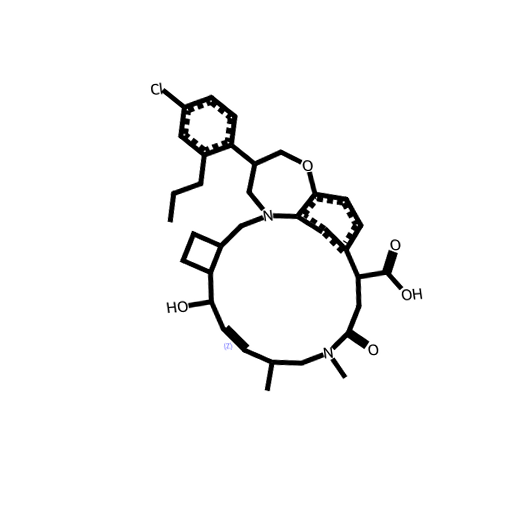 CCCc1cc(Cl)ccc1C1COc2ccc3cc2N(C1)CC1CCC1C(O)/C=C\C(C)CN(C)C(=O)CC3C(=O)O